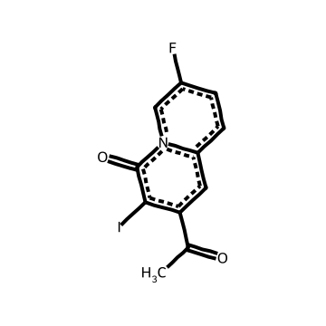 CC(=O)c1cc2ccc(F)cn2c(=O)c1I